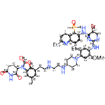 CCc1ccc2c(P(C)(C)=O)c(Nc3nc(Nc4cc(CC)c(N5CCC(NCCNCCc6cc(C)cc7c6oc(=O)n7C6CCC(=O)NC6=O)CC5)cc4OC)ncc3Br)ccc2n1